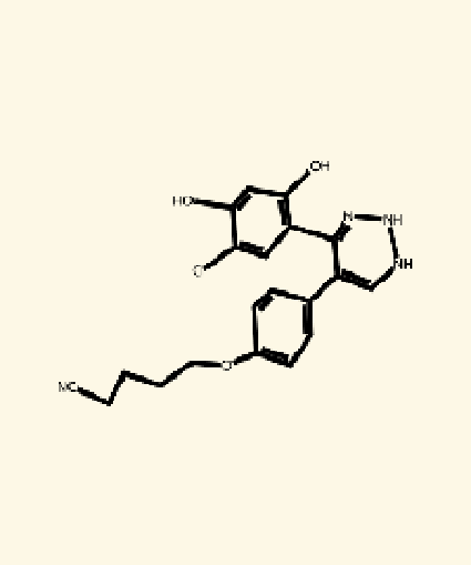 N#CCCCCOc1ccc(C2=CNNN=C2c2cc(Cl)c(O)cc2O)cc1